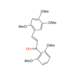 COc1cc(OC)c(OC)cc1C=CC(=O)c1c(OC)cccc1OC